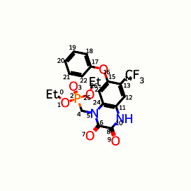 CCOP(=O)(Cn1c(=O)c(=O)[nH]c2cc(C(F)(F)F)c(Oc3ccccc3)cc21)OCC